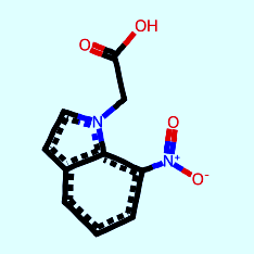 O=C(O)Cn1ccc2cccc([N+](=O)[O-])c21